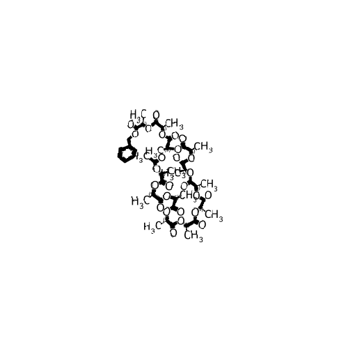 CC(=O)O[C@@H](C)C(=O)O[C@@H](C)C(=O)O[C@@H](C)C(=O)O[C@@H](C)C(=O)O[C@@H](C)C(=O)O[C@@H](C)C(=O)O[C@@H](C)C(=O)O[C@@H](C)C(=O)O[C@@H](C)C(=O)O[C@@H](C)C(=O)O[C@@H](C)C(=O)O[C@@H](C)C(=O)OCc1ccccc1